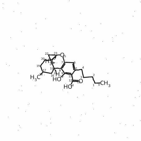 CCCCCc1cc2c(c(O)c1C(=O)O)[C@@H]1CC(C)CC[C@]13C[C@]3(C)O2